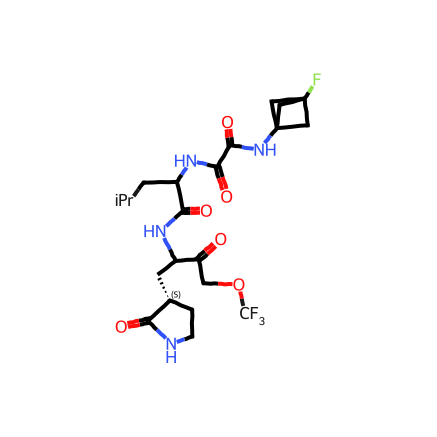 CC(C)CC(NC(=O)C(=O)NC12CC(F)(C1)C2)C(=O)NC(C[C@@H]1CCNC1=O)C(=O)COC(F)(F)F